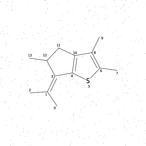 CC(C)=C1c2sc(C)c(C)c2CC1C